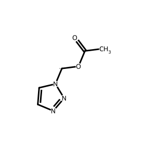 CC(=O)O[CH]n1ccnn1